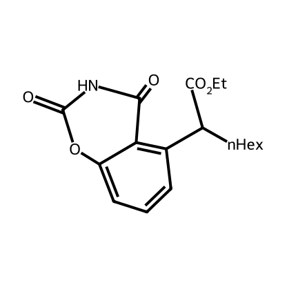 CCCCCCC(C(=O)OCC)c1cccc2oc(=O)[nH]c(=O)c12